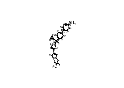 CC(C)(O)Cn1cc(-c2coc([C@@](C)(c3ccc(-c4cnc(N)nc4)cc3)C3CC3)n2)cn1